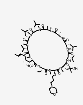 C/C=C/C[C@@H](C)[C@@H](O)[C@H]1C(=O)N[C@@H](CC)C(=O)N(C)[C@H](SCCCN2CCOCC2)C(=O)N(C)[C@@H](CC(C)(C)O)C(=O)N[C@@H](C(C)C)C(=O)N(C)[C@@H](CC(C)C)C(=O)N[C@@H](C)C(=O)N[C@H](C)C(=O)N(C)[C@@H](CC(C)C)C(=O)N(C)[C@@H](CC(C)C)C(=O)N(C)[C@@H](C(C)C)C(=O)N1C